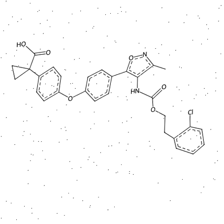 Cc1noc(-c2ccc(Oc3ccc(C4(C(=O)O)CC4)cc3)cc2)c1NC(=O)OCCc1ccccc1Cl